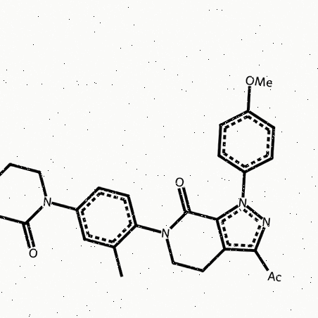 COc1ccc(-n2nc(C(C)=O)c3c2C(=O)N(c2ccc(N4CCCCC4=O)cc2C)CC3)cc1